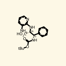 CC(C)(C)OC(=O)N[C@@H](c1ccccc1)[C@@H](Nc1ncccc1N)C(=O)O